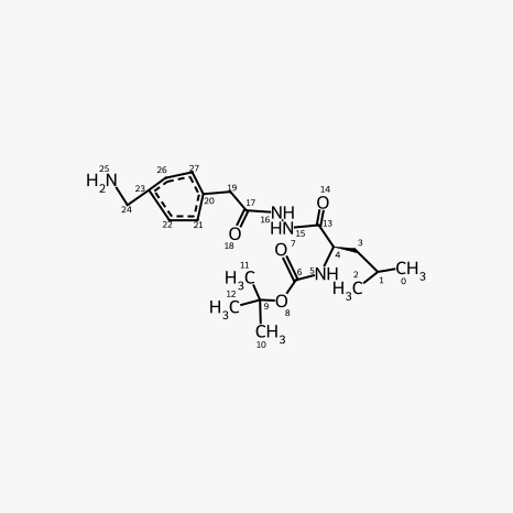 CC(C)C[C@@H](NC(=O)OC(C)(C)C)C(=O)NNC(=O)Cc1ccc(CN)cc1